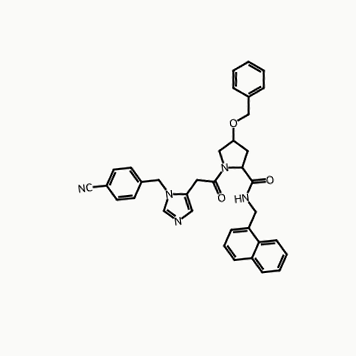 N#Cc1ccc(Cn2cncc2CC(=O)N2CC(OCc3ccccc3)CC2C(=O)NCc2cccc3ccccc23)cc1